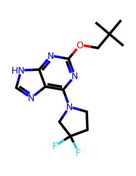 CC(C)(C)COc1nc(N2CCC(F)(F)C2)c2nc[nH]c2n1